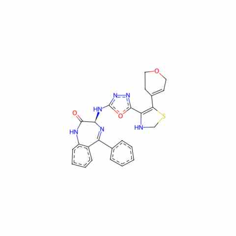 O=C1Nc2ccccc2C(c2ccccc2)=N[C@@H]1Nc1nnc(C2=C(C3=CCOCC3)SCN2)o1